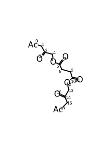 CC(=O)CC(=O)COC(=O)CCC(=O)OCC(=O)CC(C)=O